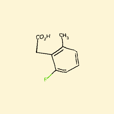 Cc1cccc(F)c1CC(=O)O